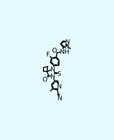 Cc1cc(N2C(=O)C3(CCC3)N(c3ccc(C(=O)Nc4ccnn4C)c(F)c3)C2=S)cnc1C#N